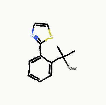 CSC(C)(C)c1ccccc1-c1nccs1